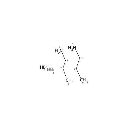 Br.Br.CCCN.CCCN